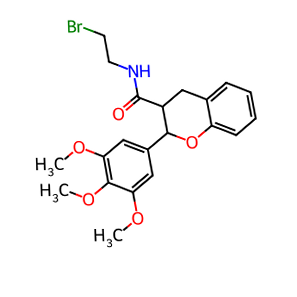 COc1cc(C2Oc3ccccc3CC2C(=O)NCCBr)cc(OC)c1OC